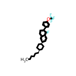 CCCCCC[C@H]1CC[C@H](c2ccc3c(F)c(-c4ccc(OC(F)(F)F)cc4)ccc3c2)CC1